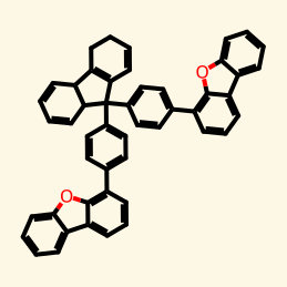 C1=CC2C3=C(C=CCC3)C(c3ccc(-c4cccc5c4oc4ccccc45)cc3)(c3ccc(-c4cccc5c4oc4ccccc45)cc3)C2C=C1